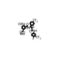 COc1ccc(C(=O)OC(C)(C)C)cc1C(=O)Nc1c(C(=O)Nc2ccc(F)c(C(F)(F)F)c2)sc2cc(C(F)(F)F)ccc12